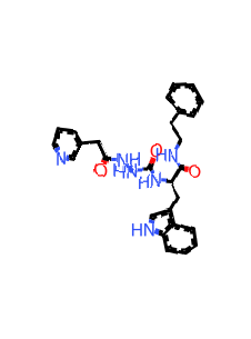 O=C(Cc1cccnc1)NNC(=O)N[C@H](Cc1c[nH]c2ccccc12)C(=O)NCCc1ccccc1